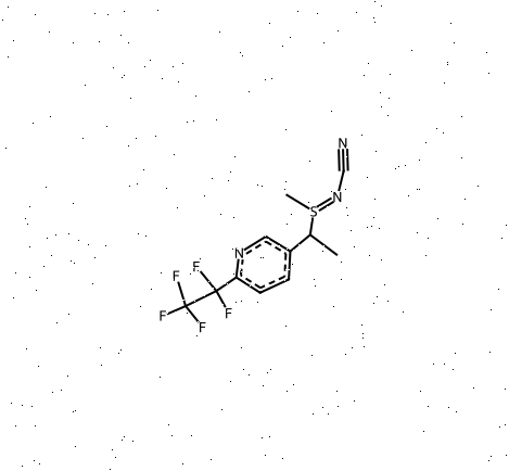 CC(c1ccc(C(F)(F)C(F)(F)F)nc1)/S(C)=N/C#N